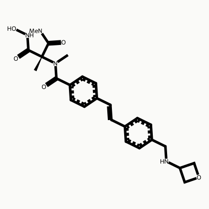 CNC(=O)[C@@](C)(C(=O)NO)N(C)C(=O)c1ccc(C=Cc2ccc(CNC3COC3)cc2)cc1